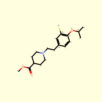 COC(=O)C1CCN(CCc2ccc(OC(C)C)c(F)c2)CC1